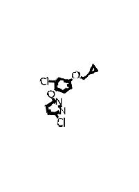 Clc1ccc(Oc2ccc(OCC3CC3)cc2Cl)nn1